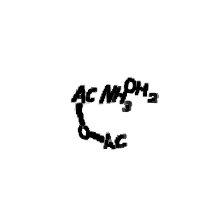 CC(=O)OC(C)=O.N.O